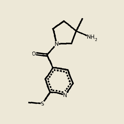 CSc1cc(C(=O)N2CCC(C)(N)C2)ccn1